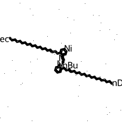 CCCCCCCCCCCCCCCCCCCCCCCCCCC=CCCc1ccccc1N=CC(CCCC)=Nc1ccccc1CCC=CCCCCCCCCCCCCCCCCCCCCCCCCCC.[Ni]